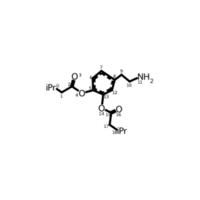 CC(C)CC(=O)Oc1ccc(CCN)cc1OC(=O)CC(C)C